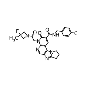 CC1(F)CN(C(=O)Cn2c(=O)c(C(=O)NCc3ccc(Cl)cc3)cc3c4c(cnc32)nc2n4CCC2)C1